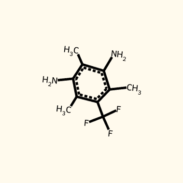 Cc1c(N)c(C)c(C(F)(F)F)c(C)c1N